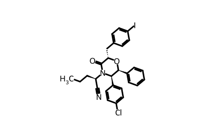 CCC[C@H](C#N)N1C(=O)[C@H](Cc2ccc(I)cc2)O[C@@H](c2ccccc2)[C@H]1c1ccc(Cl)cc1